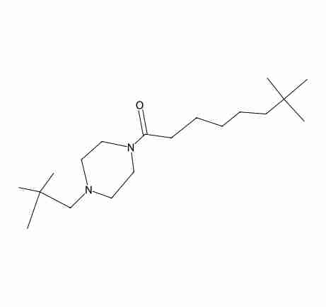 CC(C)(C)CCCCCC(=O)N1CCN(CC(C)(C)C)CC1